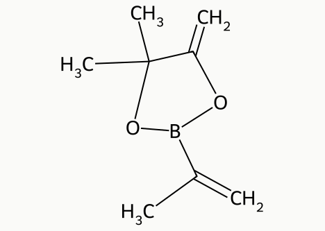 C=C(C)B1OC(=C)C(C)(C)O1